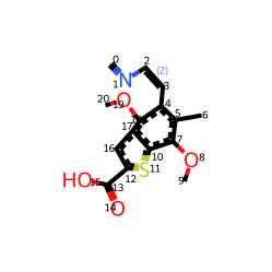 C=N/C=C\c1c(C)c(OC)c2sc(C(=O)O)cc2c1OC